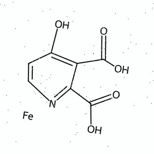 O=C(O)c1nccc(O)c1C(=O)O.[Fe]